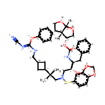 CC(C)(CN(C[C@@H](O)[C@H](Cc1ccccc1)NC(=O)O[C@H]1CO[C@H]2OCC[C@H]21)Sc1ccc2c(c1)OCO2)C1CC(CN/C(=N/C#N)Oc2ccccc2)C1